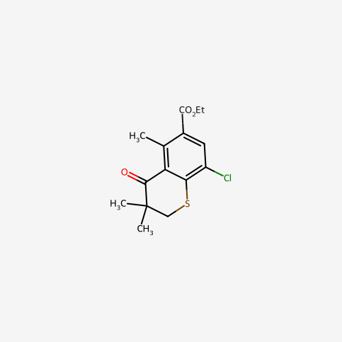 CCOC(=O)c1cc(Cl)c2c(c1C)C(=O)C(C)(C)CS2